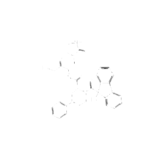 O=C1NCC[C@@H]1C[C@H](NC(=O)[C@@H]1CN(c2ccccc2)CCN1C(=O)C1(O)c2ccccc2-c2ccccc21)C(=O)CO